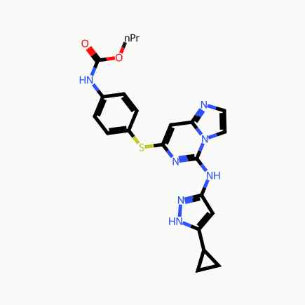 CCCOC(=O)Nc1ccc(Sc2cc3nccn3c(Nc3cc(C4CC4)[nH]n3)n2)cc1